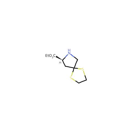 CCOC(=O)[C@@H]1CC2(CN1)SCCS2